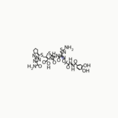 CC(C)(O/N=C(\C(=O)N[C@@H]1C(=O)N2C(C(=O)O)=C(CSc3c4c(nc5nc(C(N)=O)nn35)CCC4)CS[C@H]12)c1csc(N)n1)C(=O)NNC(=O)c1ccc(O)c(O)c1